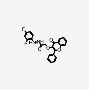 O=C(COc1c(-c2ccccc2)oc2ccccc2c1=O)NNc1ccc(F)cc1F